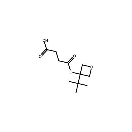 CC(C)(C)C1(OC(=O)CCC(=O)O)COC1